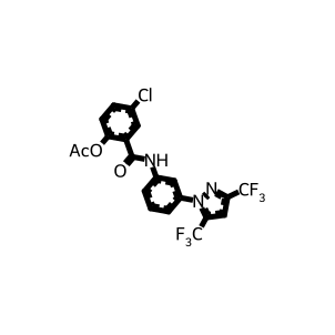 CC(=O)Oc1ccc(Cl)cc1C(=O)Nc1cccc(-n2nc(C(F)(F)F)cc2C(F)(F)F)c1